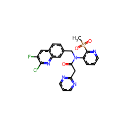 CS(=O)(=O)c1ncccc1N(Cc1ccc2cc(F)c(Cl)nc2c1)C(=O)Cc1ncccn1